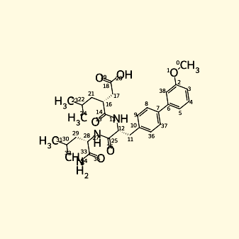 COc1cccc(-c2ccc(C[C@@H](NC(=O)[C@@H](CC(=O)O)CC(C)C)C(=O)N[C@@H](CC(C)C)C(N)=O)cc2)c1